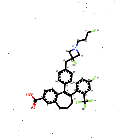 O=C(O)c1ccc2c(c1)CCCC(c1ccc(F)cc1C(F)(F)F)=C2c1ccc(CC2(F)CN(CCCF)C2)cc1